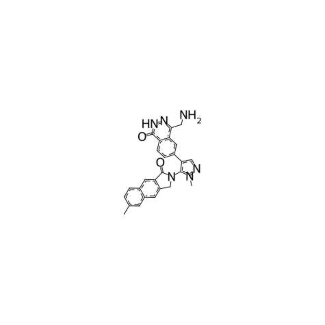 Cc1ccc2cc3c(cc2c1)CN(c1c(-c2ccc4c(=O)[nH]nc(CN)c4c2)cnn1C)C3=O